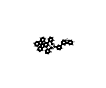 c1ccc(-c2nc(-c3cccc(-c4ccc5oc6ccccc6c5c4)c3)nc(-c3ccccc3-c3ccc4c(c3)C3(c5ccccc5-c5ccccc53)c3ccccc3-4)n2)cc1